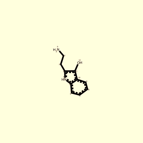 NCCc1[nH]c2ccccc2c1O